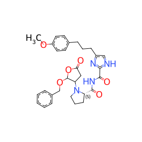 COc1ccc(CCCc2c[nH]c(C(=O)NC(=O)[C@@H]3CCCN3C3CC(=O)OC3OCc3ccccc3)n2)cc1